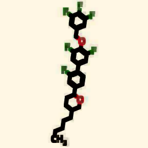 CCCCCC1CCC(c2ccc(-c3cc(F)c(OCc4cc(F)c(F)c(F)c4)c(F)c3)c(F)c2)OC1